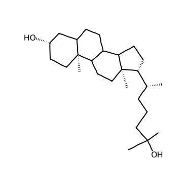 C[C@H](CCCC(C)(C)O)[C@H]1CCC2C3CCC4C[C@@H](O)CC[C@]4(C)C3CC[C@@]21C